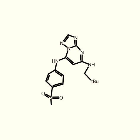 CC(C)(C)CNc1cc(Nc2ccc(S(C)(=O)=O)cc2)n2ncnc2n1